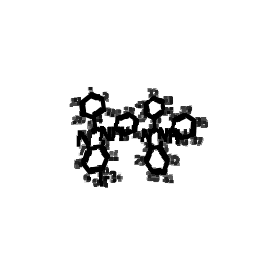 [Ir+3].c1ccc(C2=Nc3ccccc3[NH+]2c2ccccc2)cc1.c1ccc(C2=Nc3ccccc3[NH+]2c2ccccc2)cc1